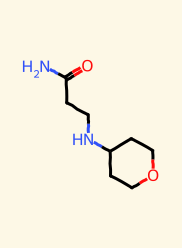 NC(=O)CCNC1CCOCC1